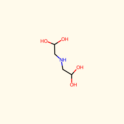 OC(O)CNCC(O)O